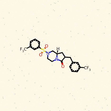 O=C1C(Cc2cccc(C(F)(F)F)c2)C[C@H]2CN(S(=O)(=O)c3cccc(C(F)(F)F)c3)CCN12